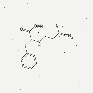 C=C(C)CCNC(Cc1ccccc1)C(=O)OC